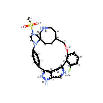 CCS(=O)(=O)N1CCN2c3ccc(cc3)-c3n[nH]c4cnc(cc34)-c3c(F)cccc3OCC3CCNCC2(CC3)C1